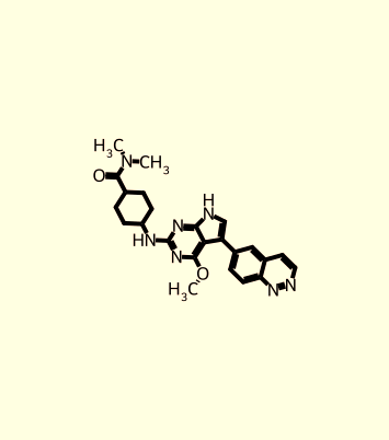 COc1nc(NC2CCC(C(=O)N(C)C)CC2)nc2[nH]cc(-c3ccc4nnccc4c3)c12